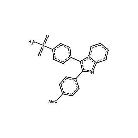 COc1ccc(-c2nc3cnccn3c2-c2ccc(S(N)(=O)=O)cc2)cc1